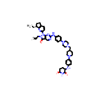 C=CCn1c(=O)c2cnc(Nc3ccc(N4CCN(CC5CCN(c6ccc(NC7CCC(=O)NC7=O)cc6)CC5)CC4)cc3)nc2n1-c1ccc2c(n1)[C@@H](CC)CC2